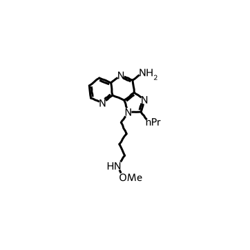 CCCc1nc2c(N)nc3cccnc3c2n1CCCCNOC